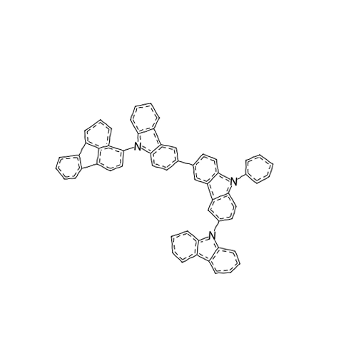 c1ccc(-n2c3ccc(-c4ccc5c(c4)c4ccccc4n5-c4ccc5c6c(cccc46)-c4ccccc4-5)cc3c3cc(-n4c5ccccc5c5ccccc54)ccc32)cc1